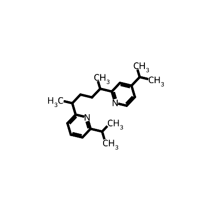 CC(C)c1ccnc(C(C)CCC(C)c2cccc(C(C)C)n2)c1